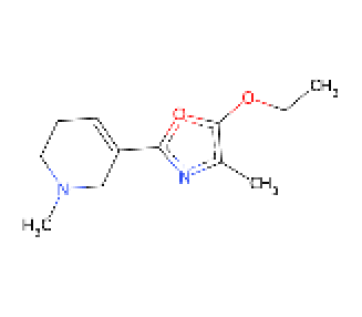 CCOc1oc(C2=CCCN(C)C2)nc1C